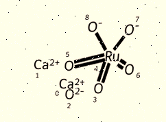 [Ca+2].[Ca+2].[O-2].[O]=[Ru](=[O])(=[O])([O-])[O-]